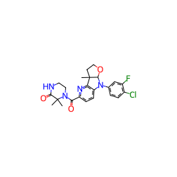 CC12CCOC1N(c1ccc(Cl)c(F)c1)c1ccc(C(=O)N3CCNC(=O)C3(C)C)nc12